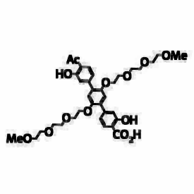 COCCOCCOCCOc1cc(-c2ccc(C(=O)O)c(O)c2)c(OCCOCCOCCOC)cc1-c1ccc(C(C)=O)c(O)c1